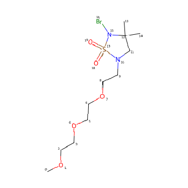 COCCOCCOCCN1CC(C)(C)N(Br)S1(=O)=O